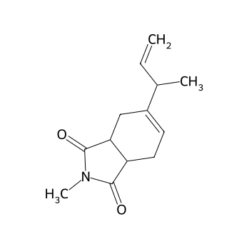 C=CC(C)C1=CCC2C(=O)N(C)C(=O)C2C1